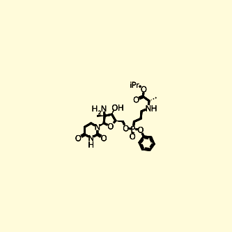 CC(C)OC(=O)[C@H](C)NCCCP(=O)(OC[C@H]1O[C@@H](N2CCC(=O)NC2=O)[C@](C)(N)[C@@H]1O)Oc1ccccc1